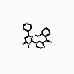 COc1ccccc1C(=O)C1CN(c2nc(-c3ccncc3)cc(=O)n2C)CCO1